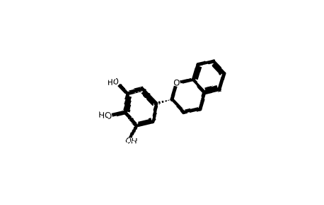 Oc1cc([C@H]2CCc3ccccc3O2)cc(O)c1O